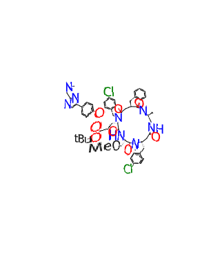 COC[C@@H]1NC(=O)[C@H](CCC(=O)OC(C)(C)C)N(Cc2ccc(Cl)cc2Oc2ccc(-c3cnc(CN(C)C)n3C)cc2)C(=O)C[C@@H](Cc2ccccc2)C(=O)N(C)[C@@H](C)CNC(=O)C[C@H](Cc2ccc(Cl)cc2)N(C)C1=O